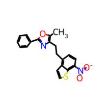 Cc1oc(-c2ccccc2)nc1CCc1ccc([N+](=O)[O-])c2sccc12